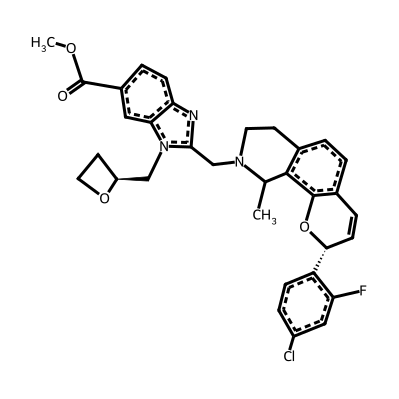 COC(=O)c1ccc2nc(CN3CCc4ccc5c(c4C3C)O[C@@H](c3ccc(Cl)cc3F)C=C5)n(C[C@@H]3CCO3)c2c1